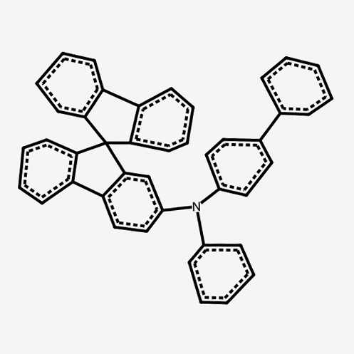 c1ccc(-c2ccc(N(c3ccccc3)c3ccc4c(c3)C3(c5ccccc5-c5ccccc53)c3ccccc3-4)cc2)cc1